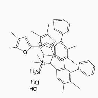 Cc1cc(C2=Cc3c(cc(C)c(C)c3-c3ccccc3)[CH]2[Zr]([CH3])([CH3])(=[SiH2])[CH]2C(c3cc(C)c(C)o3)=Cc3c2cc(C)c(C)c3-c2ccccc2)oc1C.Cl.Cl